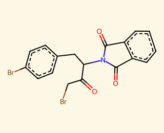 O=C(CBr)C(Cc1ccc(Br)cc1)N1C(=O)c2ccccc2C1=O